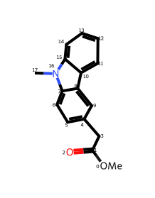 COC(=O)Cc1ccc2c(c1)c1ccccc1n2C